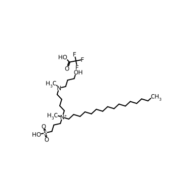 CCCCCCCCCCCCCCCC[N+](C)(CCCCN(C)CCCO)CCCS(=O)(=O)O.O=C(O)C(F)(F)F